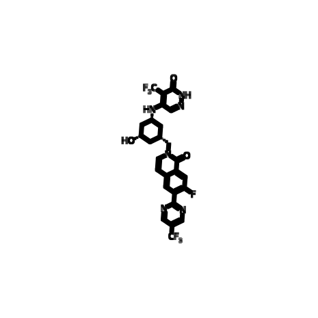 O=c1[nH]ncc(N[C@H]2C[C@@H](O)C[C@@H](Cn3ccc4cc(-c5ncc(C(F)(F)F)cn5)c(F)cc4c3=O)C2)c1C(F)(F)F